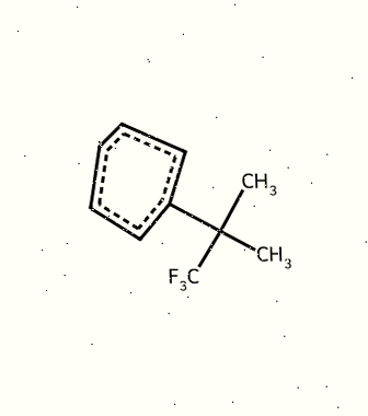 CC(C)(c1cc[c]cc1)C(F)(F)F